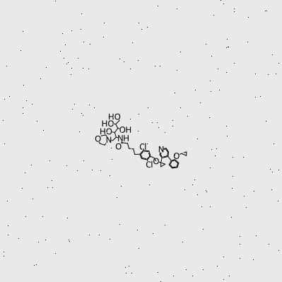 O=C(CCCCc1cc(Cl)c(COC2(c3cnccc3-c3ccccc3OC3CC3)CC2)cc1Cl)NC(CN1CCOCC1)C(O)C(O)C(O)CO